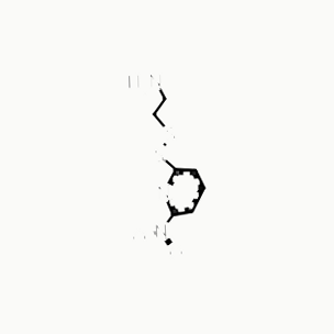 NCCSSc1cccc([N+](=O)[O-])n1